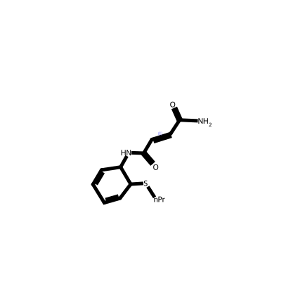 CCCSC1C=CC=CC1NC(=O)/C=C/C(N)=O